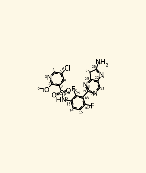 COc1ncc(Cl)cc1S(=O)(=O)Nc1ccc(F)c(-c2ncc3c(n2)CC(N)=N3)c1F